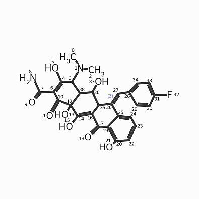 CN(C)C1C(O)=C(C(N)=O)C(=O)C2(O)C(O)=C3C(=O)c4c(O)cccc4/C(=C\c4ccc(F)cc4)C3C(O)C12